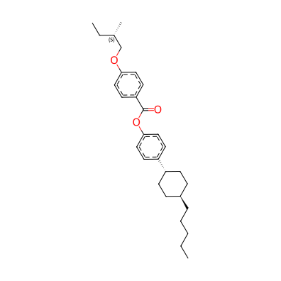 CCCCC[C@H]1CC[C@H](c2ccc(OC(=O)c3ccc(OC[C@@H](C)CC)cc3)cc2)CC1